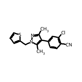 Cc1nn(Cc2cccs2)c(C)c1-c1ccc(C#N)c(Cl)c1